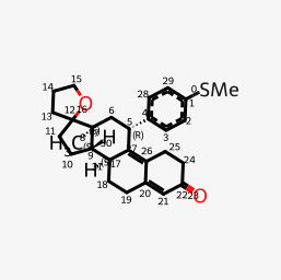 CSc1ccc([C@H]2C[C@@]3(C)[C@@H](CCC34CCCO4)[C@@H]3CCC4=CC(=O)CCC4=C32)cc1